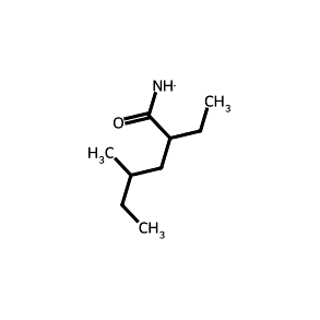 CCC(C)CC(CC)C([NH])=O